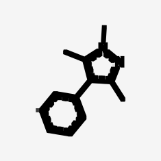 Cc1nn(C)c(C)c1-c1c[c]ccc1